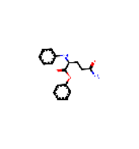 NC(=O)CC[C@H](Nc1ccccc1)C(=O)Oc1ccccc1